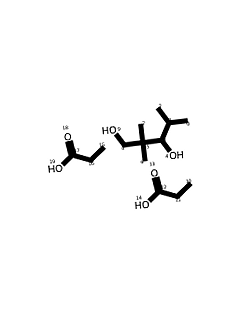 CC(C)C(O)C(C)(C)CO.CCC(=O)O.CCC(=O)O